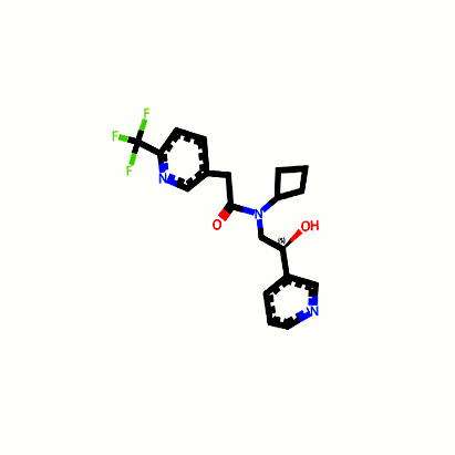 O=C(Cc1ccc(C(F)(F)F)nc1)N(C[C@@H](O)c1cccnc1)C1CCC1